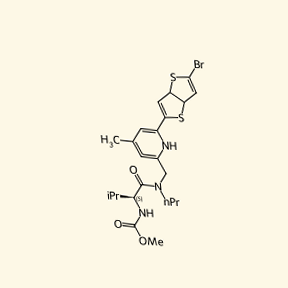 CCCN(CC1=C=C(C)C=C(C2=CC3SC(Br)=CC3S2)N1)C(=O)[C@@H](NC(=O)OC)C(C)C